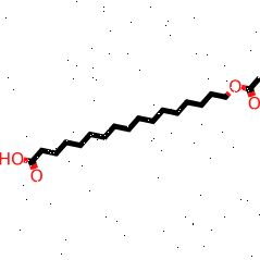 CC(=O)OCCCCCCCCCCCCCCCCC(=O)O